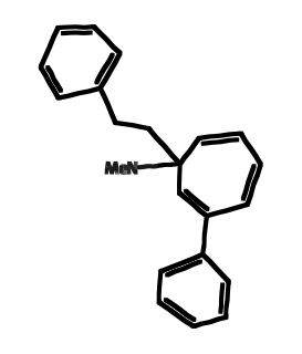 CNC1(CCc2ccccc2)C=CC=CC(c2ccccc2)=C1